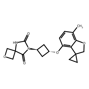 Cc1ccc(O[C@H]2C[C@H](N3C(=O)NC4(COC4)C3=O)C2)c2c1OCC21CC1